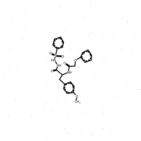 COc1ccc(CC(NC(=O)COc2ccccc2)C(=O)NNS(=O)(=O)c2ccccc2)cc1